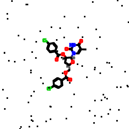 Cc1cn([C@@H]2O[C@H](COC(=O)c3ccc(Cl)cc3)C[C@H]2OC(=O)c2ccc(Cl)cc2)c(=O)[nH]c1=O